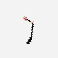 CCCCCCCCCCCCCCCCCC(=O)SCCCCC[Si](OC)(OC)OC